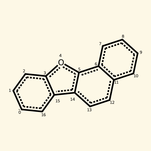 [c]1ccc2oc3c4ccccc4ccc3c2c1